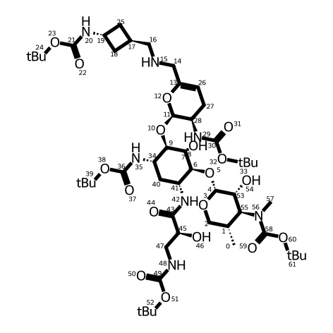 C[C@@H]1CO[C@H](O[C@@H]2[C@@H](O)[C@H](O[C@H]3OC(CNC[C@H]4C[C@H](NC(=O)OC(C)(C)C)C4)=CC[C@H]3NC(=O)OC(C)(C)C)[C@@H](NC(=O)OC(C)(C)C)C[C@H]2NC(=O)[C@@H](O)CNC(=O)OC(C)(C)C)[C@H](O)[C@H]1N(C)C(=O)OC(C)(C)C